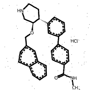 CNC(=O)c1ccc(-c2cccc([C@H]3CCNC[C@@H]3OCc3ccc4ccccc4c3)c2)cc1.Cl